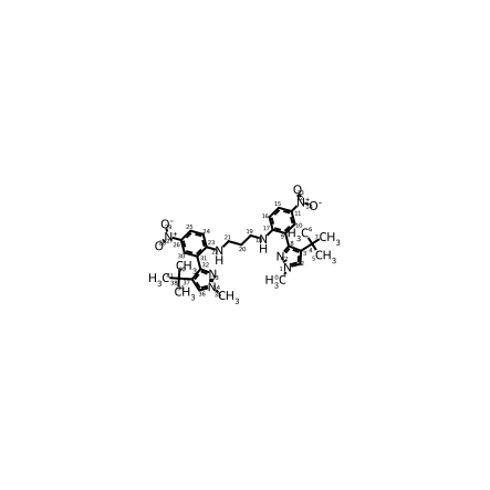 Cn1cc(C(C)(C)C)c(-c2cc([N+](=O)[O-])ccc2NCCCNc2ccc([N+](=O)[O-])cc2-c2nn(C)cc2C(C)(C)C)n1